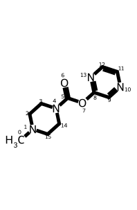 CN1CCN(C(=O)Oc2cnccn2)CC1